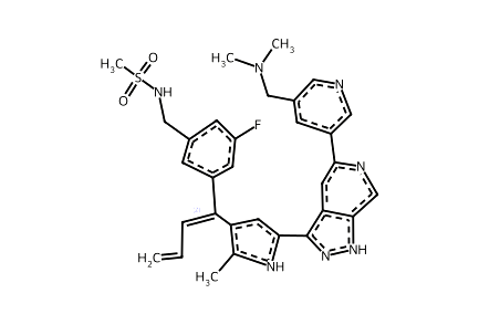 C=C/C=C(/c1cc(F)cc(CNS(C)(=O)=O)c1)c1cc(-c2n[nH]c3cnc(-c4cncc(CN(C)C)c4)cc23)[nH]c1C